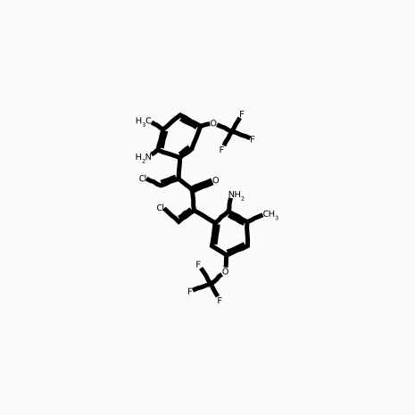 Cc1cc(OC(F)(F)F)cc(C(=CCl)C(=O)C(=CCl)c2cc(OC(F)(F)F)cc(C)c2N)c1N